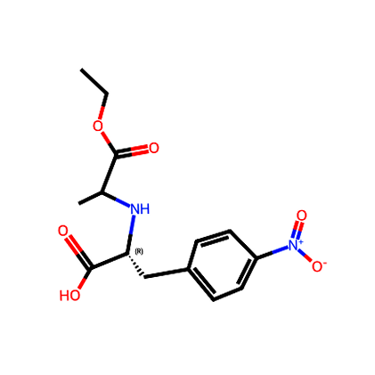 CCOC(=O)C(C)N[C@H](Cc1ccc([N+](=O)[O-])cc1)C(=O)O